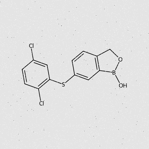 OB1OCc2ccc(Sc3cc(Cl)ccc3Cl)cc21